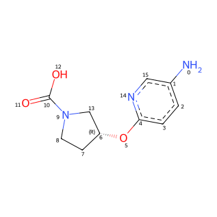 Nc1ccc(O[C@@H]2CCN(C(=O)O)C2)nc1